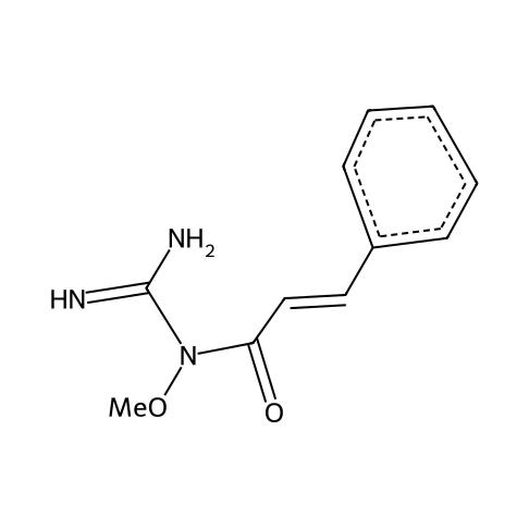 CON(C(=N)N)C(=O)C=Cc1ccccc1